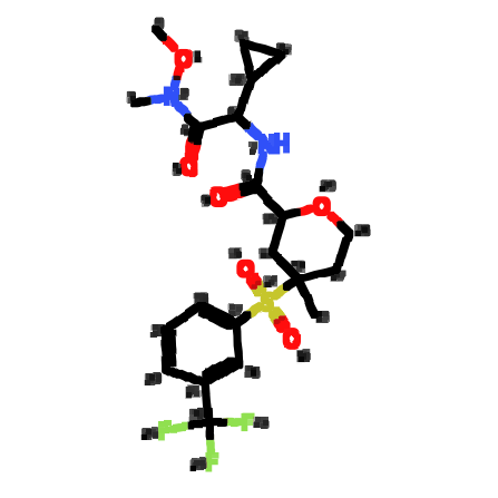 CON(C)C(=O)C(NC(=O)C1CC(C)(S(=O)(=O)c2cccc(C(F)(F)F)c2)CCO1)C1CC1